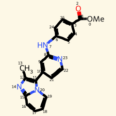 COC(=O)c1ccc(Nc2cc(-c3c(C)nc4ccccn34)ccn2)cc1